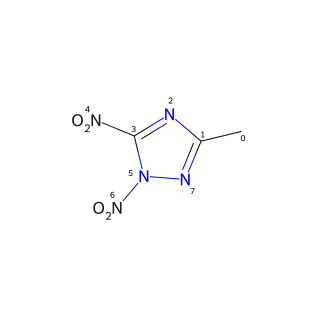 Cc1nc([N+](=O)[O-])n([N+](=O)[O-])n1